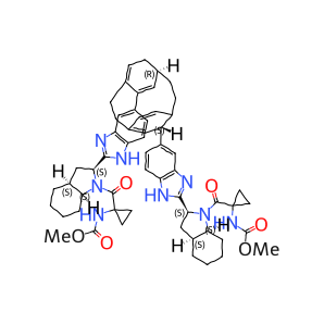 COC(=O)NC1(C(=O)N2[C@H](c3nc4cc(C5=C[C@H]6CC=C5CCC5=C[C@@H](c7ccc8[nH]c([C@@H]9C[C@@H]%10CCCC[C@@H]%10N9C(=O)C9(NC(=O)OC)CC9)nc8c7)C(C=C5)CC6)ccc4[nH]3)C[C@@H]3CCCC[C@@H]32)CC1